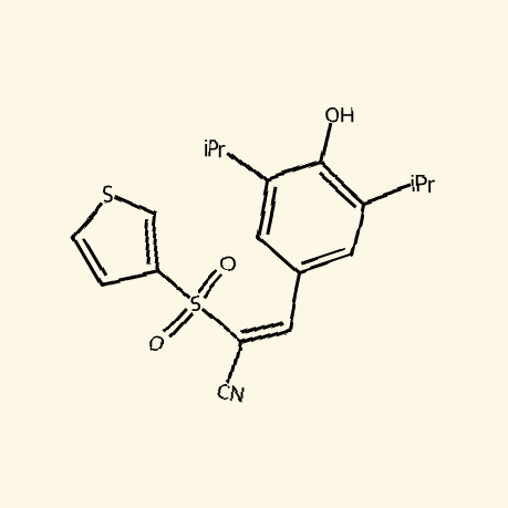 CC(C)c1cc(C=C(C#N)S(=O)(=O)c2ccsc2)cc(C(C)C)c1O